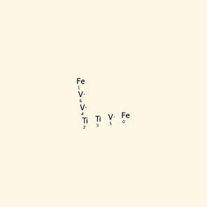 [Fe].[Fe].[Ti].[Ti].[V].[V].[V]